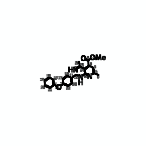 COC(=O)c1cc(C)nc(NCc2ccc(Oc3ccccc3)cc2)c1C(C)=N